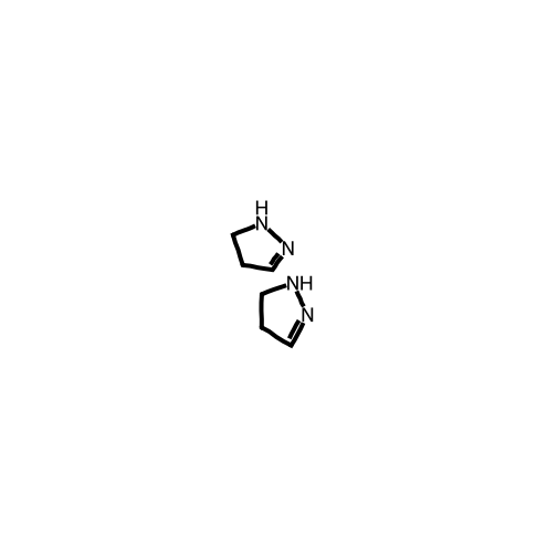 C1=NNCC1.C1=NNCC1